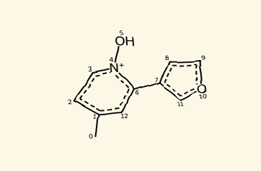 Cc1cc[n+](O)c(-c2ccoc2)c1